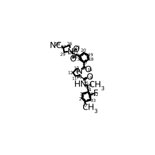 Cc1ccc([C@@H](C)NC(=O)[C@H]2CCCN2C(=O)c2cccc(S(=O)(=O)N3CC(C#N)C3)c2)c(F)c1